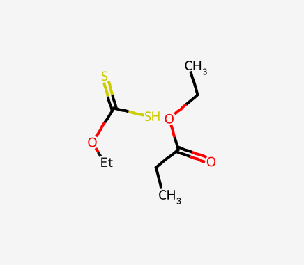 CCOC(=O)CC.CCOC(=S)S